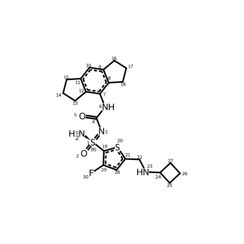 N[S@@](=O)(=NC(=O)Nc1c2c(cc3c1CCC3)CCC2)c1sc(CNC2CCC2)cc1F